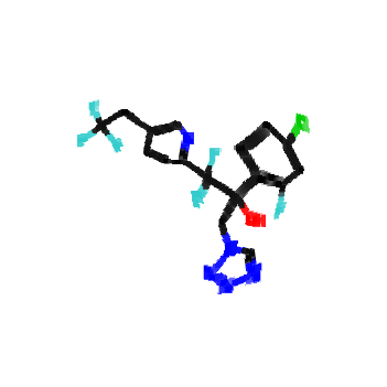 OC(Cn1cnnn1)(c1ccc(Cl)cc1F)C(F)(F)c1ccc(CC(F)(F)F)cn1